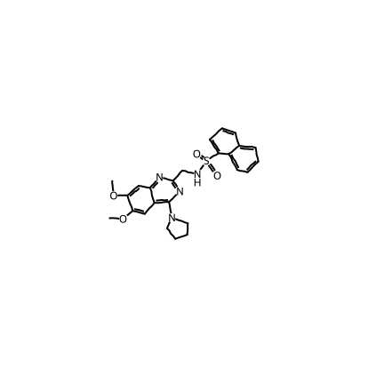 COc1cc2nc(CNS(=O)(=O)c3cccc4ccccc34)nc(N3CCCC3)c2cc1OC